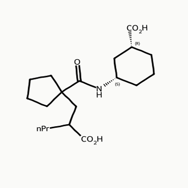 CCCC(CC1(C(=O)N[C@H]2CCC[C@@H](C(=O)O)C2)CCCC1)C(=O)O